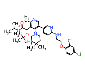 Cc1ncc(-c2ccc(NCCOc3ccc(Cl)cc3Cl)nc2)c(N2CCC(C)(C)CC2)c1[C@H](OC(C)(C)C)C(=O)OC(C)C